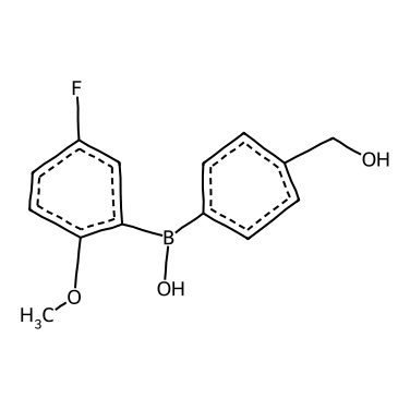 COc1ccc(F)cc1B(O)c1ccc(CO)cc1